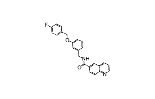 O=C(NCc1cccc(OCc2ccc(F)cc2)c1)c1ccc2ncccc2c1